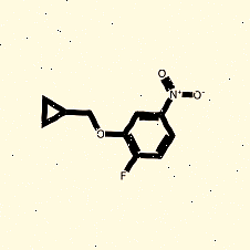 O=[N+]([O-])c1ccc(F)c(OCC2CC2)c1